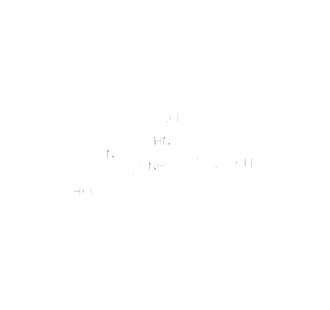 CCOc1ccccc1OCCN[C@H](C)Cc1cc2c(c(C(N)=O)c1)N(CCCO)CC2